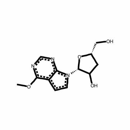 COc1ncnc2c1ccn2[C@@H]1O[C@H](CO)CC1O